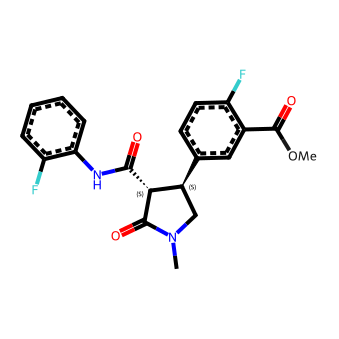 COC(=O)c1cc([C@H]2CN(C)C(=O)[C@@H]2C(=O)Nc2ccccc2F)ccc1F